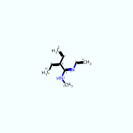 C=C/N=C(NC)\C(C=C)=C/C